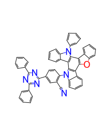 N#Cc1cc(-c2nc(-c3ccccc3)nc(-c3ccccc3)n2)ccc1-n1c2ccccc2c2c3oc4ccccc4c3c3c(c4ccccc4n3-c3ccccc3)c21